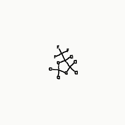 FC(F)(F)C1(Cl)OC(Cl)(Cl)OC1(Cl)Cl